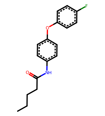 CCCCC(=O)Nc1ccc(Oc2ccc(F)cc2)cc1